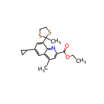 CCOC(=O)c1cc(C)c2cc(C3CC3)cc(C3(C)SCCS3)c2n1